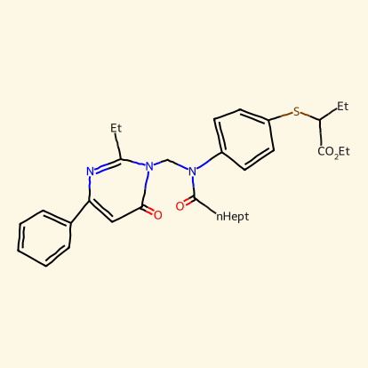 CCCCCCCC(=O)N(Cn1c(CC)nc(-c2ccccc2)cc1=O)c1ccc(SC(CC)C(=O)OCC)cc1